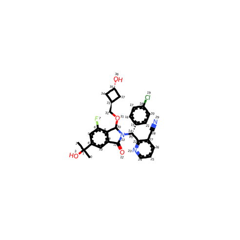 CC(C)(O)c1cc(F)c2c(c1)C(=O)N([C@H](c1ccc(Cl)cc1)c1ncccc1C#N)C2OC[C@H]1C[C@H](O)C1